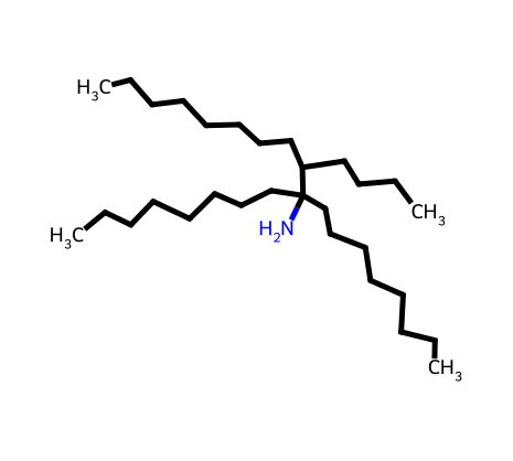 CCCCCCCCC(CCCC)C(N)(CCCCCCCC)CCCCCCCC